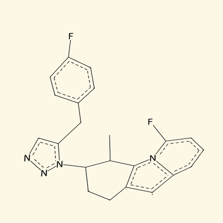 CC1c2c([c]c3cccc(F)n23)CCC1n1nncc1Cc1ccc(F)cc1